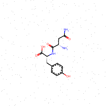 NC(=O)C[C@H](N)C(=O)N[C@H](Cc1ccc(O)cc1)C(=O)O